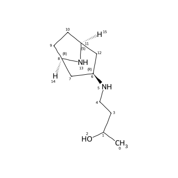 CC(O)CCN[C@H]1C[C@H]2CC[C@@H](C1)N2